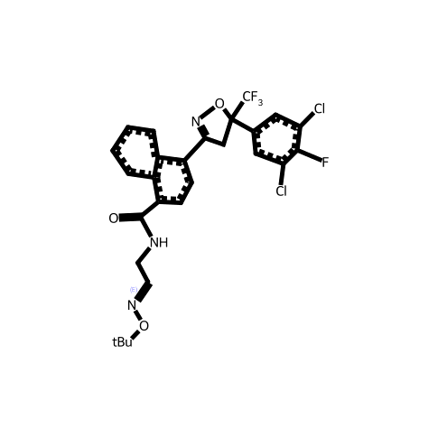 CC(C)(C)O/N=C/CNC(=O)c1ccc(C2=NOC(c3cc(Cl)c(F)c(Cl)c3)(C(F)(F)F)C2)c2ccccc12